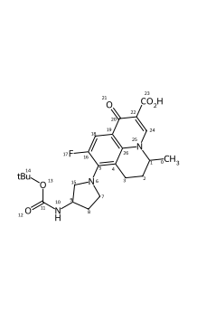 CC1CCc2c(N3CCC(NC(=O)OC(C)(C)C)C3)c(F)cc3c(=O)c(C(=O)O)cn1c23